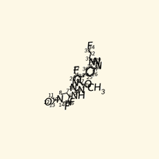 COc1nc(N[C@@H]2CCN(C3COC3)CC2(F)F)nn2cc(F)c(-c3ccc4nnn(CCCF)c4c3)c12